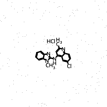 Cc1cc(Nc2nc3ccccc3n2C)c2cc(Cl)ccc2n1.Cl